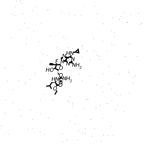 C#CC1(F)C(O)[C@@H](COP(N)(=O)N[C@H](CC(C)C)C(=O)OCC)O[C@H]1n1cnc2c(NC3CC3)nc(N)nc21